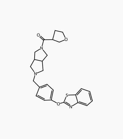 O=C(C1CCOC1)N1CC2CN(Cc3ccc(Oc4nc5ccccc5s4)cc3)CC2C1